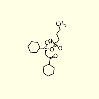 CCCCS(=O)(=O)OS(C)(CC(=O)C1CCCCC1)C1CCCCC1